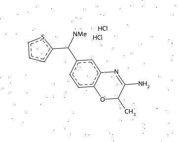 CNC(c1ccc2c(c1)N=C(N)C(C)O2)c1cccs1.Cl.Cl